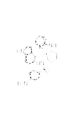 Nc1ccc(C(=O)N[C@H]2CCC[C@@H](Nc3nccc(-c4c[nH]c5ccccc45)n3)C2)cc1